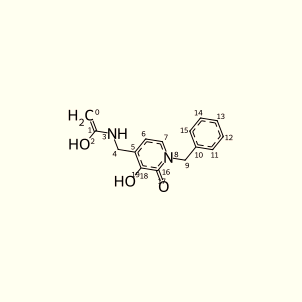 C=C(O)NCc1ccn(Cc2ccccc2)c(=O)c1O